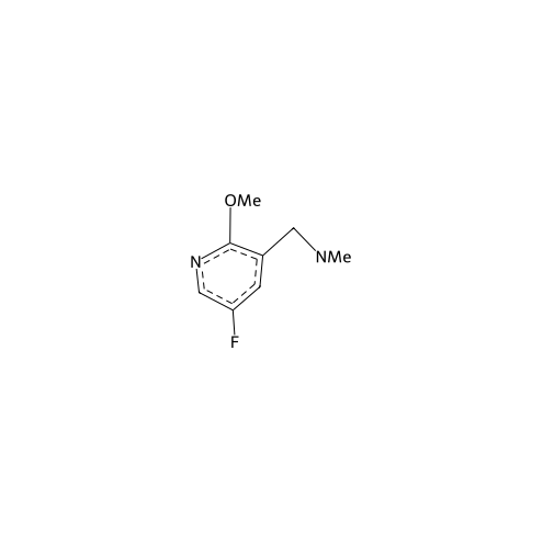 CNCc1cc(F)cnc1OC